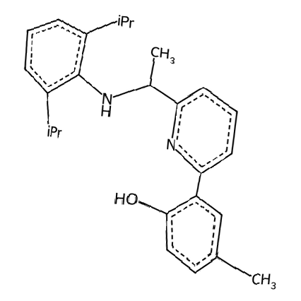 Cc1ccc(O)c(-c2cccc(C(C)Nc3c(C(C)C)cccc3C(C)C)n2)c1